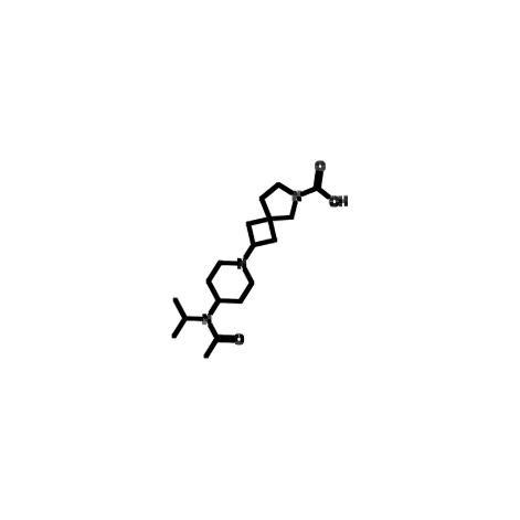 CC(=O)N(C(C)C)C1CCN(C2CC3(CCN(C(=O)O)C3)C2)CC1